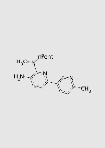 CCCCCN(C)c1nc(-c2ccc(C)nc2)ccc1N